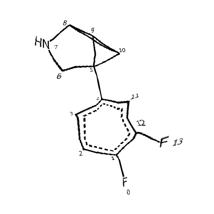 Fc1ccc(C23CNC4C2C43)cc1F